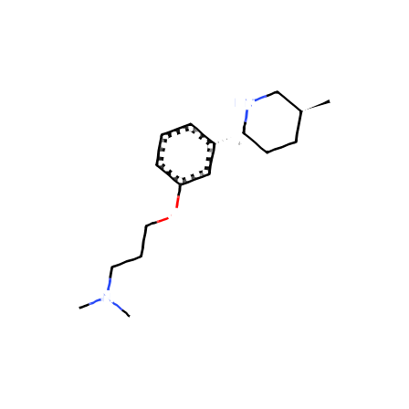 C[C@H]1CC[C@H](c2cccc(OCCCN(C)C)c2)NC1